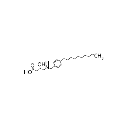 CCCCCCCCCCc1ccc(CNCC(O)CC(=O)O)cc1